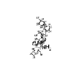 C=CC[C@H](C(N)=O)[C@@H](CC1CCC1)C(=O)N[C@H]1CCCCN(Cc2cccc(-c3ccc(C)cc3)c2)C1=O